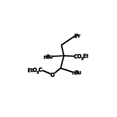 CCCCC(OC(=O)OCC)C(CCCC)(CC(C)C)C(=O)OCC